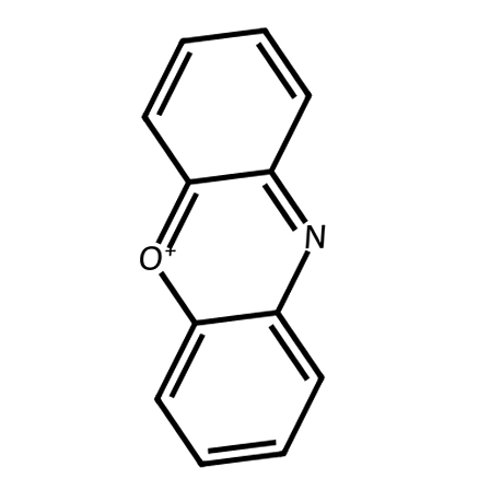 c1ccc2[o+]c3ccccc3nc2c1